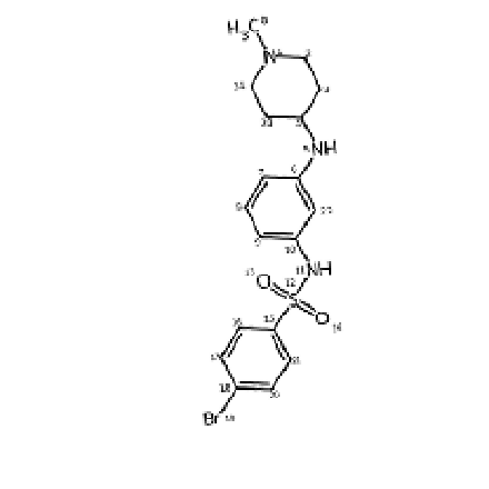 CN1CCC(Nc2cccc(NS(=O)(=O)c3ccc(Br)cc3)c2)CC1